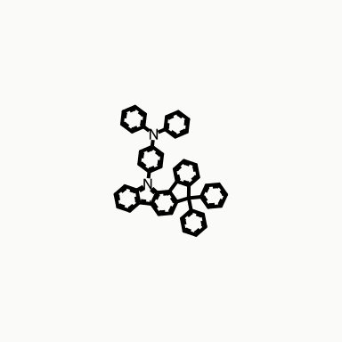 c1ccc(N(c2ccccc2)c2ccc(-n3c4ccccc4c4ccc5c(c43)-c3ccccc3C5(c3ccccc3)c3ccccc3)cc2)cc1